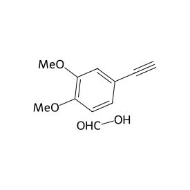 C#Cc1ccc(OC)c(OC)c1.O=CO